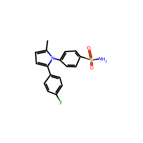 Cc1ccc(-c2ccc(F)cc2)n1-c1ccc(S(N)(=O)=O)cc1